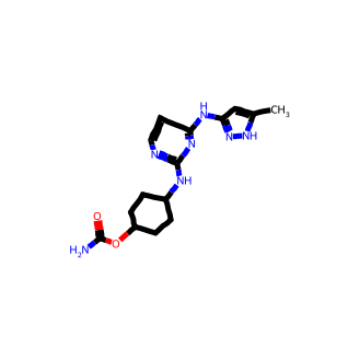 Cc1cc(Nc2ccnc(NC3CCC(OC(N)=O)CC3)n2)n[nH]1